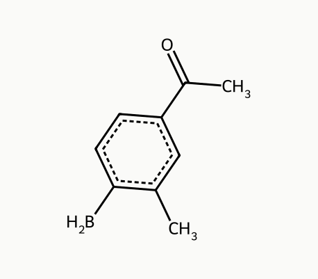 Bc1ccc(C(C)=O)cc1C